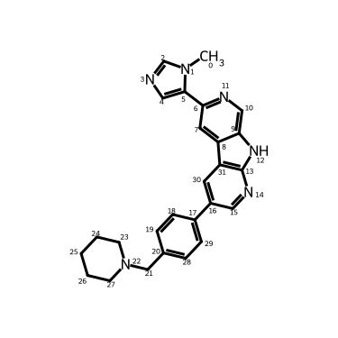 Cn1cncc1-c1cc2c(cn1)[nH]c1ncc(-c3ccc(CN4CCCCC4)cc3)cc12